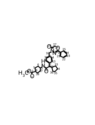 COC(=O)C1CCC(NC(=O)C(c2ccc(CN3N=C(c4ccccc4)OCC3=O)cc2)C2CCCC2)CC1